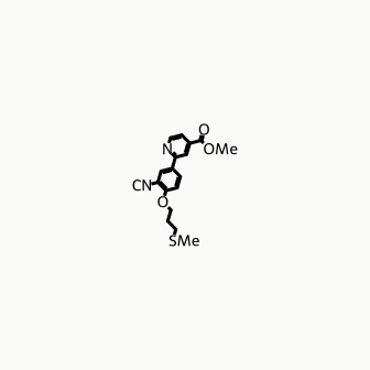 [C-]#[N+]c1cc(-c2cc(C(=O)OC)ccn2)ccc1OCCCSC